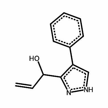 C=CC(O)c1n[nH]cc1-c1ccccc1